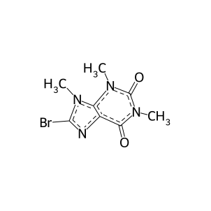 Cn1c(=O)c2nc(Br)n(C)c2n(C)c1=O